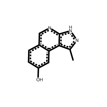 Cc1n[nH]c2ncc3ccc(O)cc3c12